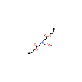 C#CCCOC(=O)CCN(CCOC)CCC(=O)OCCC#C